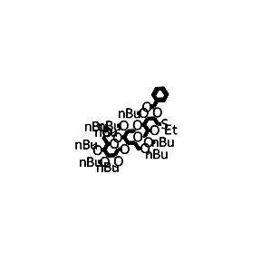 CCCCOCC1OC(OC2C(COCCCC)OC(OC3C(COCCCC)OC(SCC)C(OC(=O)c4ccccc4)C3OCCCC)C(OCCCC)C2OCCCC)C(OCCCC)C(OCCCC)C1OCCCC